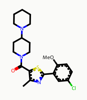 COc1ccc(Cl)cc1-c1nc(C)c(C(=O)N2CCC(N3CCCCC3)CC2)s1